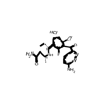 CC[C@@H](N[C@H](C)CC(N)=O)c1ccc(Cl)c(C(=O)c2ccc(N)nn2)c1F.Cl